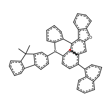 CC1(C)c2ccccc2-c2ccc(N(c3ccc(-c4cccc5ccccc45)cc3)c3ccccc3-c3cccc4oc5ccccc5c34)cc21